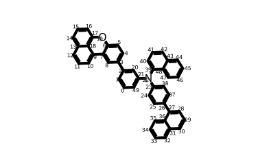 c1cc(-c2ccc3c(c2)-c2cccc4cccc(c24)O3)cc(N(c2ccc(-c3cccc4ccccc34)cc2)c2cccc3ccccc23)c1